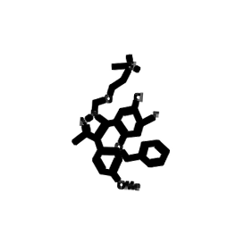 COc1ccc(-c2c(C)nn(COCC[Si](C)(C)C)c2-c2cc(Cl)c(F)cc2OCc2ccccc2)cc1